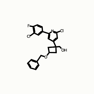 OCC1(c2cc(Cl)nc(-c3ccc(F)c(Cl)c3)c2)CC(OCc2ccccc2)C1